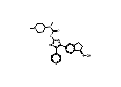 CN1CCC(N(C)C(=O)Oc2nc(-c3ccc4c(c3)CCC4=NO)c(-c3ccncc3)[nH]2)CC1